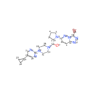 O=C([C@@H]1CCCN1c1ccc2nnc(Br)n2n1)N1CCN(c2ncc(C3CC3)cn2)CC1